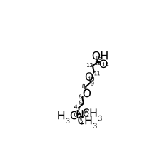 C[N+](C)(C)CCCOCCOCCC(=O)O